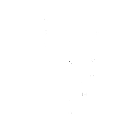 CS(=O)(=O)c1ccc(Br)c2c1CN(C1CCC(=O)NC1=O)C2=O